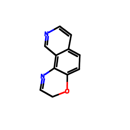 C1=Nc2c(ccc3ccncc23)OC1